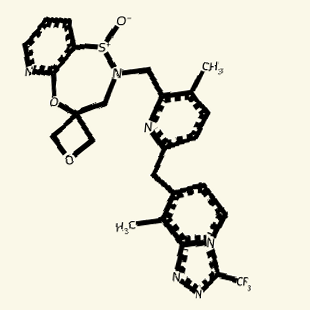 Cc1ccc(Cc2ccn3c(C(F)(F)F)nnc3c2C)nc1CN1CC2(COC2)Oc2ncccc2[S+]1[O-]